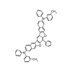 Cc1cccc(N(c2ccccc2)c2ccc3cc4c(cc3c2)oc2c(-c3ccccc3)c3oc5cc6cc(N(c7ccccc7)c7cccc(C)c7)ccc6cc5c3cc24)c1